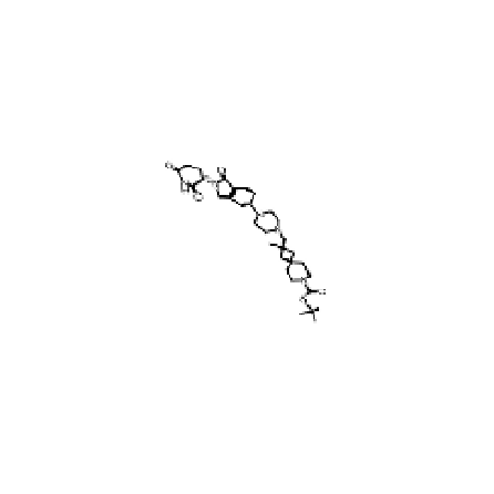 CC1(CN2CCN(c3ccc4c(c3)CN([C@H]3CCC(=O)NC3=O)C4=O)CC2)CC2(CCN(C(=O)OC(C)(C)C)CC2)C1